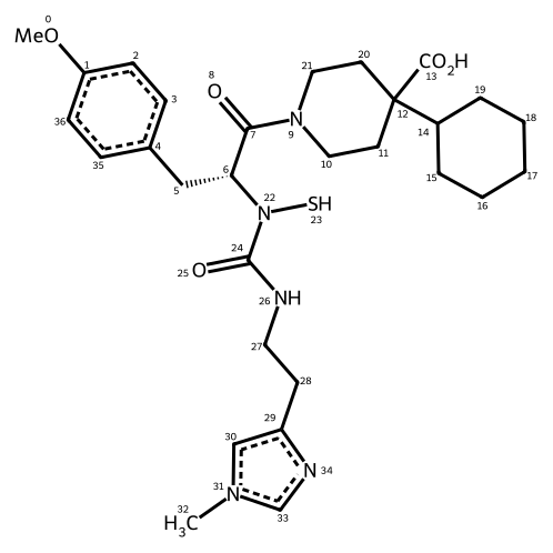 COc1ccc(C[C@H](C(=O)N2CCC(C(=O)O)(C3CCCCC3)CC2)N(S)C(=O)NCCc2cn(C)cn2)cc1